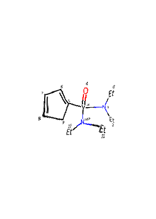 CC[N](CC)[V](=[O])([C]1=CC=CC1)[N](CC)CC